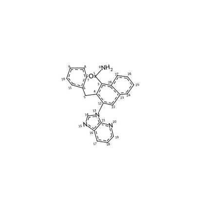 NC(=O)c1c(Cc2ccccc2)c(-n2cnc3cccnc32)cc2ccccc12